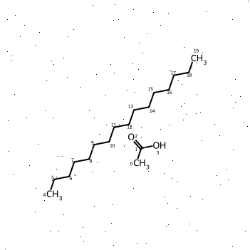 CC(=O)O.CCCCCCCCCCCCCCCC